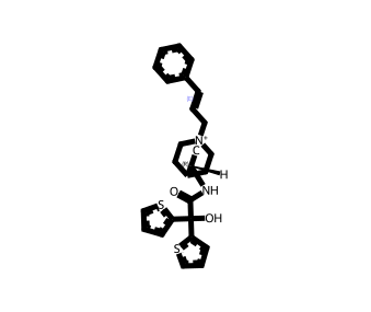 O=C(N[C@H]1C[N+]2(C/C=C/c3ccccc3)CCC1CC2)C(O)(c1cccs1)c1cccs1